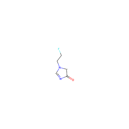 O=C1[C]N(CCF)[C]=N1